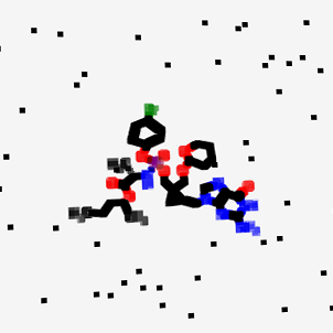 CCCC(C)OC(=O)[C@H](C)N[P@](=O)(OCC1(COC2CCCCO2)C/C1=C/n1cnc2c(=O)[nH]c(N)nc21)Oc1ccc(Br)cc1